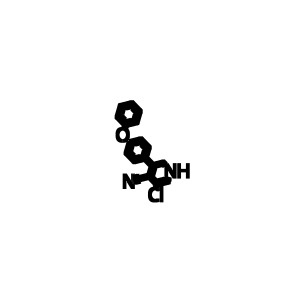 N#CC1=C(c2ccc(Oc3ccccc3)cc2)CNC=C1Cl